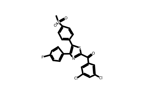 CS(=O)(=O)c1ccc(-c2sc(C(=O)c3cc(Cl)cc(Cl)c3)nc2-c2ccc(F)cc2)cc1